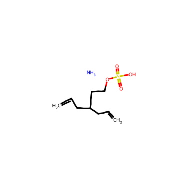 C=CCC(CC=C)CCOS(=O)(=O)O.N